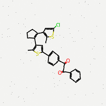 Cc1sc(Cl)cc1C1=C(c2cc(-c3ccc(C(=O)C(=O)c4ccccc4)cc3)sc2C)CCC1